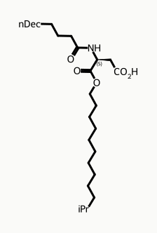 CCCCCCCCCCCCCC(=O)N[C@@H](CC(=O)O)C(=O)OCCCCCCCCCCC(C)C